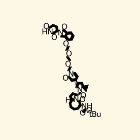 CC(C)(C)OC(=O)N[C@H]1CCCC[C@H]2CC[C@@H](C(=O)N3C[C@@H](c4ccn(CCOCCOCCOc5cccc6c5CN(C5CCC(=O)NC5=O)C6=O)c(=O)c4)CC34CC4)N2C1=O